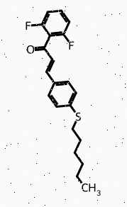 CCCCCCSc1ccc(/C=C/C(=O)c2c(F)cccc2F)cc1